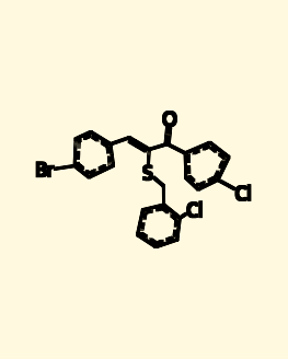 O=C(C(=Cc1ccc(Br)cc1)SCc1ccccc1Cl)c1ccc(Cl)cc1